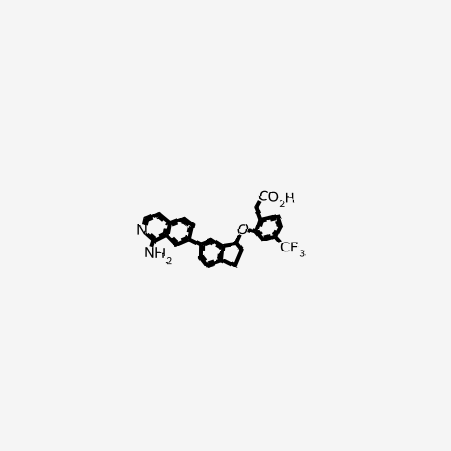 Nc1nccc2ccc(-c3ccc4c(c3)C(Oc3cc(C(F)(F)F)ccc3CC(=O)O)CC4)cc12